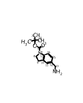 CC(C)(C)OC(=O)N1CCc2cc(CN)ccc21